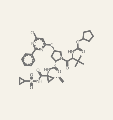 C=C[C@@H]1C[C@]1(NC(=O)[C@@H]1C[C@@H](Oc2cc(Cl)nc(-c3ccccc3)n2)CN1C(=O)[C@@H](NC(=O)OC1CCCC1)C(C)(C)C)C(=O)NS(=O)(=O)C1CC1